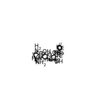 CN([C@@H]1[C@@H](O)[C@@H](O[C@@H]2[C@@H](O)[C@H](O[C@H]3OC(CN)=CC[C@H]3N)[C@@H](N)C[C@H]2N)OC[C@]1(C)O)S(=O)(=O)c1ccccc1